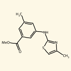 COC(=O)c1cc(C)cc(Nc2nc(C)cs2)c1